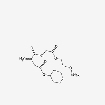 C=C(CC(=O)OC1CCCCC1)C(=O)OCC(=O)OCCOCCCCCC